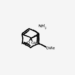 COc1ccc2cc1C2(OC)OC.N